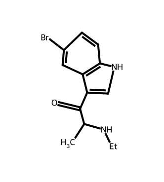 CCNC(C)C(=O)c1c[nH]c2ccc(Br)cc12